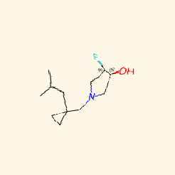 CC(C)CC1(CN2C[C@@H](F)[C@@H](O)C2)CC1